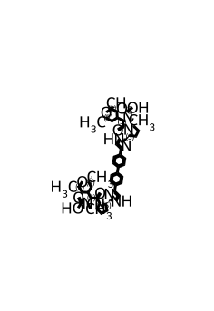 C[C@@H]1CC([C@@H](C(=O)N2CCC[C@H]2c2nc(-c3ccc(-c4ccc(-c5c[nH]c([C@@H]6CCCN6C(=O)[C@H](C6C[C@@H](C)O[C@H](C)C6)N(C)C(=O)O)n5)cc4)cc3)c[nH]2)N(C)C(=O)O)C[C@@H](C)O1